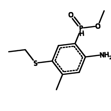 CCSc1cc([PH](=O)OC)c(N)cc1C